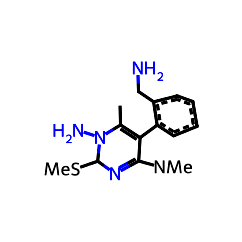 CNC1=NC(SC)N(N)C(C)=C1c1ccccc1CN